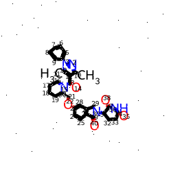 Cc1nn(-c2ccccc2)c(C)c1C(=O)N1CCCC[C@@H]1COc1ccc2c(c1)CN(C1CCC(=O)NC1=O)C2=O